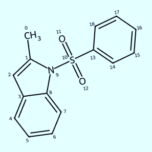 Cc1cc2ccccc2n1S(=O)(=O)c1ccccc1